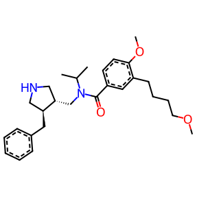 COCCCCc1cc(C(=O)N(C[C@H]2CNC[C@@H]2Cc2ccccc2)C(C)C)ccc1OC